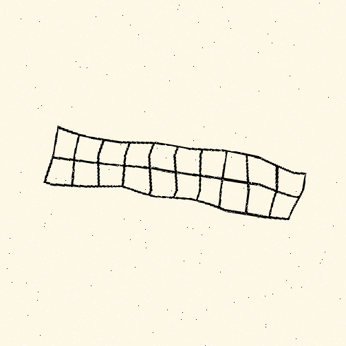 C1C2CC3C4C5C6C7C8C9C%10C%11CC%12CC%13C%14C%15C%16C%17C%18C%19C%20C1C23C%204C%195C%186C%177C%168C%159C%14%10C%12%13%11